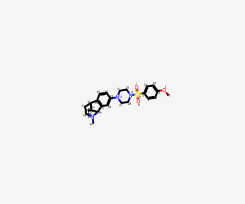 COc1ccc(S(=O)(=O)N2CCN(c3ccc4c(c3)C3[C@@H](C)C4CCN3C)CC2)cc1